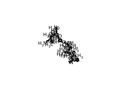 CC[C@H](C)[C@@H]([C@@H](CC(=O)N1CCC[C@H]1[C@H](OC)[C@@H](C)C(=O)N[C@@H](Cc1ccccc1)c1nccs1)OC)N(C)C(=O)[C@@H](NC(=O)C(C)(C)NC(=O)OCc1ccc(NC(=O)[C@H](CCCNC(N)=O)NC(=O)[C@@H](NC(=O)[C@H](CCCCN)NC(=O)[C@H](C)O)C(C)C)cc1)C(C)C